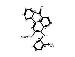 CCCCCCCCOc1cc2c3c(cccc3c1Sc1ccccc1N)C(=O)c1ccccc1-2